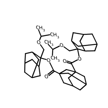 CC(C)OCC1(OC(=O)C23CC4CC(C2)CC(C(=O)OC2(COC(C)C)C5CC6CC(C5)CC2C6)(C4)C3)C2CC3CC(C2)CC1C3